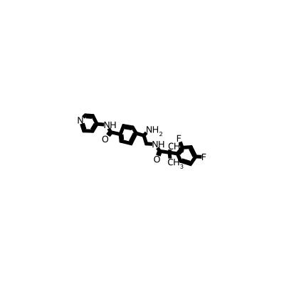 CC(C)(C(=O)NCC(N)c1ccc(C(=O)Nc2ccncc2)cc1)c1ccc(F)cc1F